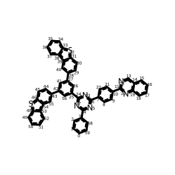 c1ccc(-c2nc(-c3ccc(-c4ncc5ccccc5n4)cc3)nc(-c3cc(-c4ccc5sc6ccccc6c5c4)cc(-c4ccc5sc6ccccc6c5c4)c3)n2)cc1